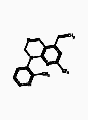 C=Cc1cc(C(F)(F)F)nc2c1C=NCN2c1cccnc1C